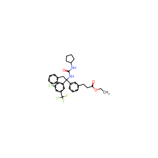 CCOC(=O)CCc1cccc(C(Cc2ccccc2)(NC(=O)NC2CCCC2)c2cc(F)cc(C(F)(F)F)c2)c1